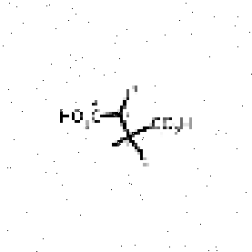 CC(I)(C(=O)O)C(I)C(=O)O